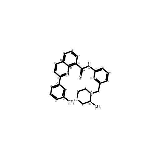 C[C@H]1COCCN1Cc1cccc(NC(=O)c2cccc3ccc(-c4cccc(C(F)(F)F)c4)nc23)n1